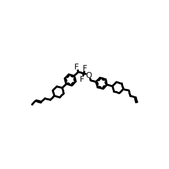 C=CCCC1CCC(c2ccc(COC(F)(F)C(F)c3ccc(C4CCC(CCC=CC)CC4)cc3)cc2)CC1